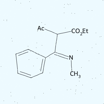 CCOC(=O)C(C(C)=O)/C(=N/C)c1ccccc1